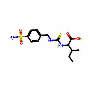 CCC(C)C(NC(=S)NCc1ccc(S(N)(=O)=O)cc1)C(=O)O